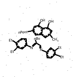 CCCCC(C=Nc1ccc(CC)c(CC)c1)=Nc1ccc(CC)c(CC)c1.CCCCCc1cc(O)c2c(O)cc(C)cc2c1